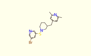 Cc1cc(CC2CCCN(Sc3cncc(Br)c3)C2)cc(C)n1